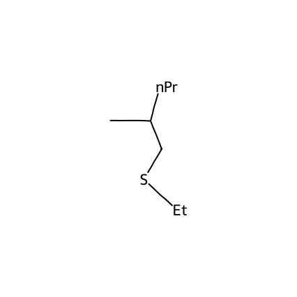 [CH2]CSCC(C)CCC